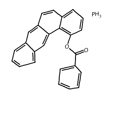 O=C(Oc1cccc2ccc3cc4ccccc4cc3c12)c1ccccc1.P